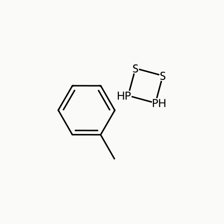 Cc1ccccc1.P1PSS1